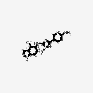 Cn1nc(-c2ccc(N)nc2)nc1Nc1ccc2[nH]ncc2c1Cl